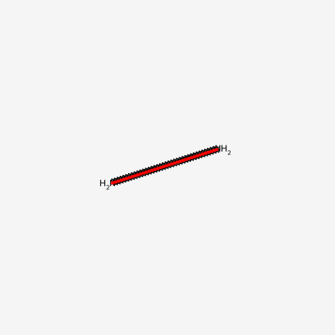 N/N=N/N=N/N=N/N=N/N=N/N=N/N=N/N=N/N=N/N=N/N=N/N=N/N=N/N=N/N=N/N=N/N=N/N=N/N=N/N=N/N=N/N=N/N=N/N=N/N=N/N=N/N=N/N=N/N=N/N=N/N=N/N=N/N=N/N=N/N=N/N=N/N=N/N